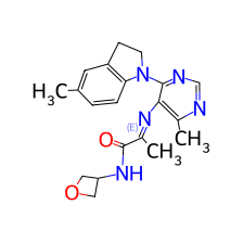 C/C(=N\c1c(C)ncnc1N1CCc2cc(C)ccc21)C(=O)NC1COC1